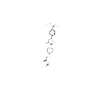 CC(CC(=O)c1ccc(C(=N)N)cc1)C(=O)N1CCC(OCC(=O)OC(=O)C(F)(F)F)CC1